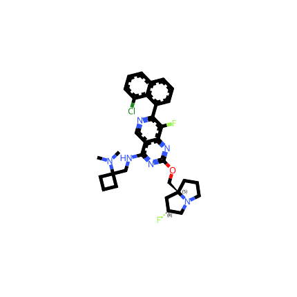 CN(C)C1(CNc2nc(OC[C@@]34CCCN3C[C@H](F)C4)nc3c(F)c(-c4cccc5cccc(Cl)c45)ncc23)CCC1